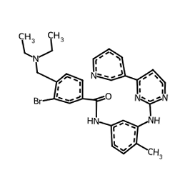 CCN(CC)Cc1ccc(C(=O)Nc2ccc(C)c(Nc3nccc(-c4cccnc4)n3)c2)cc1Br